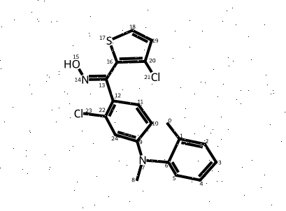 Cc1ccccc1N(C)c1ccc(/C(=N/O)c2sccc2Cl)c(Cl)c1